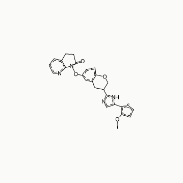 COc1ccsc1-c1cnc(C2COc3ccc(ON4C(=O)CCc5cccnc54)cc3C2)[nH]1